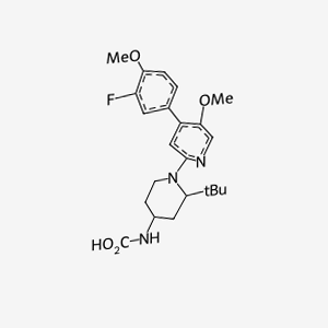 COc1ccc(-c2cc(N3CCC(NC(=O)O)CC3C(C)(C)C)ncc2OC)cc1F